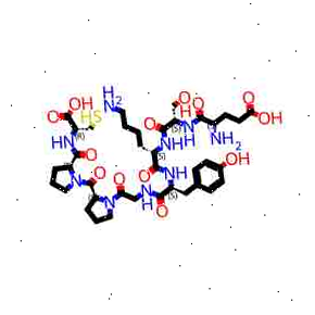 NCCCC[C@H](NC(=O)[C@H](CO)NC(=O)[C@@H](N)CCC(=O)O)C(=O)N[C@@H](Cc1ccc(O)cc1)C(=O)NCC(=O)N1CCC[C@H]1C(=O)N1CCC[C@H]1C(=O)N[C@@H](CS)C(=O)O